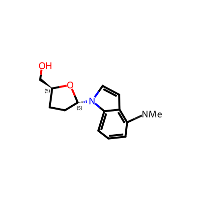 CNc1cccc2c1ccn2[C@@H]1CC[C@@H](CO)O1